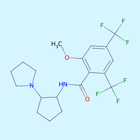 COc1cc(C(F)(F)F)cc(C(F)(F)F)c1C(=O)NC1CCCC1N1CCCC1